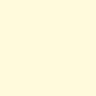 CCCCCCc1cc(C(=O)COc2ccc(C)c(F)c2)c(O)cc1O